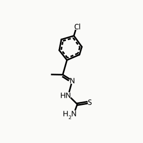 CC(=NNC(N)=S)c1ccc(Cl)cc1